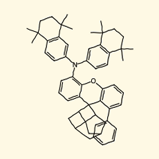 CC1(C)CCC(C)(C)c2cc(N(c3ccc4c(c3)C(C)(C)CCC4(C)C)c3cccc4c3Oc3cccc(-c5ccccc5)c3C43C4CC5CC6CC3C64C5)ccc21